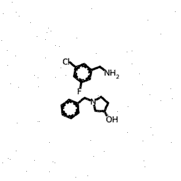 NCc1cc(F)cc(Cl)c1.OC1CCN(Cc2ccccc2)C1